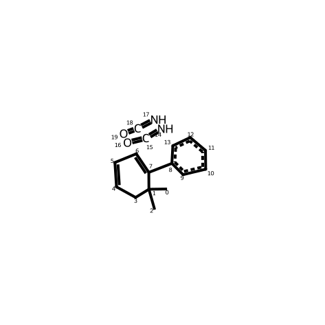 CC1(C)CC=CC=C1c1ccccc1.N=C=O.N=C=O